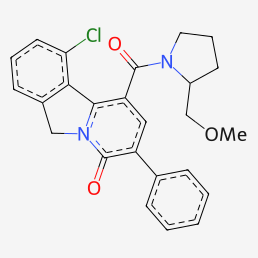 COCC1CCCN1C(=O)c1cc(-c2ccccc2)c(=O)n2c1-c1c(Cl)cccc1C2